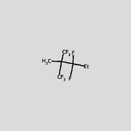 CCC(F)(F)C(C)(C(F)(F)F)C(F)(F)F